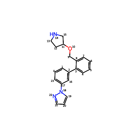 c1cc(-c2ccccc2COC2CCNC2)cc(-n2cccn2)c1